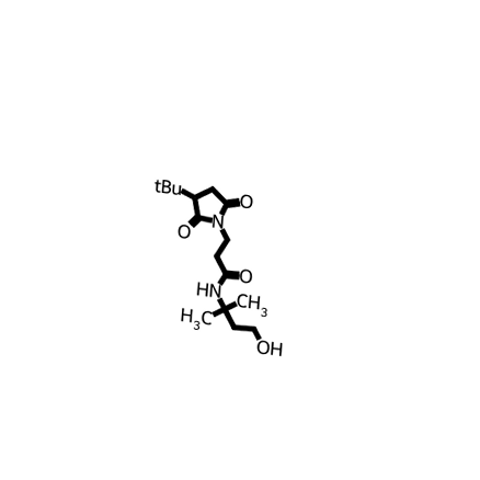 CC(C)(CCO)NC(=O)CCN1C(=O)CC(C(C)(C)C)C1=O